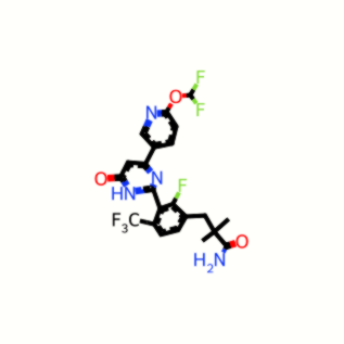 CC(C)(Cc1ccc(C(F)(F)F)c(-c2nc(-c3ccc(OC(F)F)nc3)cc(=O)[nH]2)c1F)C(N)=O